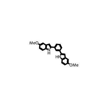 COc1ccc2[nH]c(-c3cccc(-c4cc5cc(OC)ccc5[nH]4)c3)cc2c1